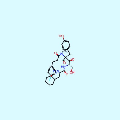 CN(C(=O)CCc1ccc(F)cc1)[C@]([C]=O)(Cc1ccc(O)cc1)C(=O)[C@H](CO)NC(=O)[C@@H](N)CC1CCCCC1